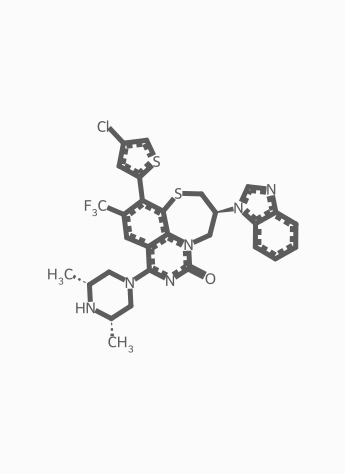 C[C@@H]1CN(c2nc(=O)n3c4c(c(-c5cc(Cl)cs5)c(C(F)(F)F)cc24)SC[C@@H](n2cnc4ccccc42)C3)C[C@H](C)N1